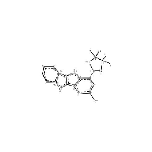 CC1(C)OB(c2cc(O)cc3c2[nH]c2c4ccccc4oc32)OC1(C)C